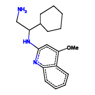 COc1cc(NC(CN)C2CCCCC2)nc2ccccc12